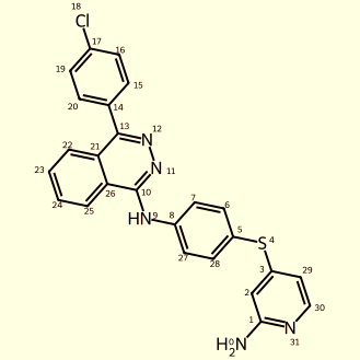 Nc1cc(Sc2ccc(Nc3nnc(-c4ccc(Cl)cc4)c4ccccc34)cc2)ccn1